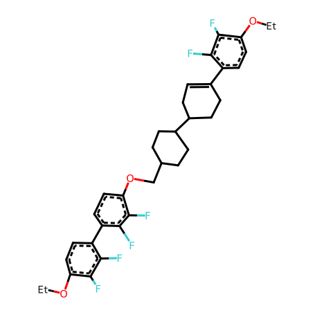 CCOc1ccc(C2=CCC(C3CCC(COc4ccc(-c5ccc(OCC)c(F)c5F)c(F)c4F)CC3)CC2)c(F)c1F